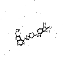 O=c1[nH]c2ccc(N[C@@H]3CCC4(C3)CN(c3ncnc5sc(CC(F)(F)F)cc35)C4)cc2[nH]1